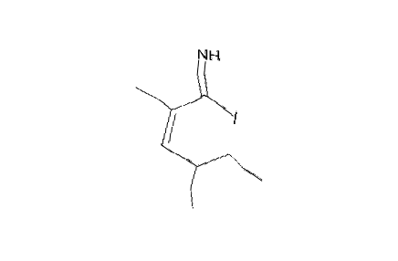 CCC(C)/C=C(/C)C(=N)I